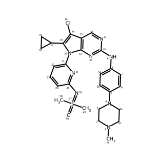 CN1CCN(c2ccc(Nc3ncc4c(Cl)c(C5CC5)n(-c5cccc(N=S(C)(C)=O)n5)c4n3)cc2)CC1